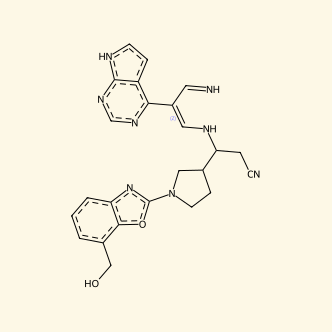 N#CCC(N/C=C(\C=N)c1ncnc2[nH]ccc12)C1CCN(c2nc3cccc(CO)c3o2)C1